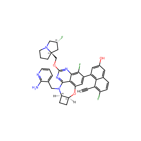 C#Cc1c(F)ccc2cc(O)cc(-c3cc4c5c(nc(OC[C@@]67CCCN6C[C@H](F)C7)nc5c3F)N(Cc3cccnc3N)[C@@H]3CC[C@@H]3O4)c12